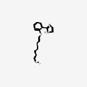 NCCCCCCCOc1ccccc1-c1ncc[nH]1